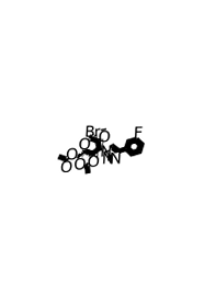 CO[C@@H]1[C@@H](n2cc(-c3cccc(F)c3)nn2)[C@@H](OC(C)=O)[C@@H](COC(C)=O)O[C@@H]1Br